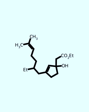 CCOC(=O)CC1(O)C=C(CC(CC)CCC=C(C)C)CC1